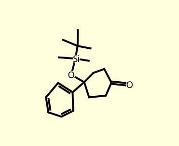 CC(C)(C)[Si](C)(C)OC1(c2ccccc2)CCC(=O)CC1